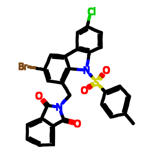 Cc1ccc(S(=O)(=O)n2c3ccc(Cl)cc3c3cc(Br)cc(CN4C(=O)c5ccccc5C4=O)c32)cc1